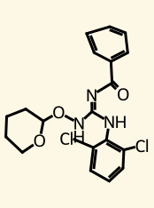 O=C(N=C(NOC1CCCCO1)Nc1c(Cl)cccc1Cl)c1ccccc1